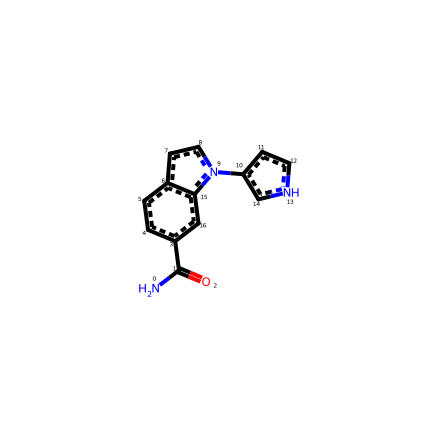 NC(=O)c1ccc2ccn(-c3cc[nH]c3)c2c1